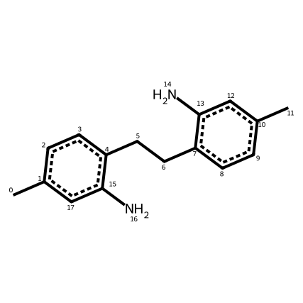 Cc1ccc(CCc2ccc(C)cc2N)c(N)c1